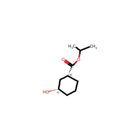 CC(C)OC(=O)[C@@H]1CCC[C@H](O)C1